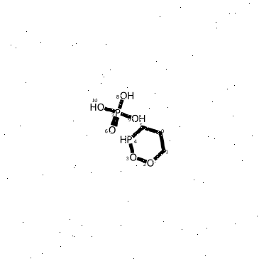 C1COOPC1.O=P(O)(O)O